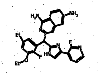 CCOc1cc(CC)cc(C(c2cc3cc(N)ccc3c(N)n2)c2nc(-c3cccnc3F)c[nH]2)c1F